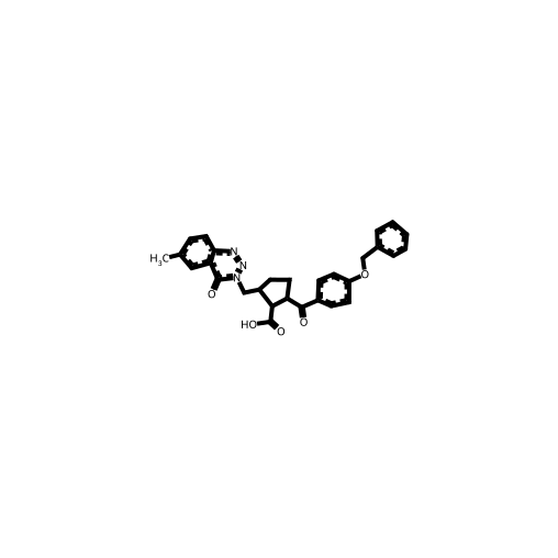 Cc1ccc2nnn(CC3CCC(C(=O)c4ccc(OCc5ccccc5)cc4)C3C(=O)O)c(=O)c2c1